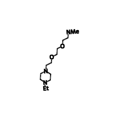 CCN1CCN(CCOCCOCCNC)CC1